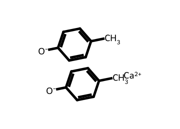 Cc1ccc([O-])cc1.Cc1ccc([O-])cc1.[Ca+2]